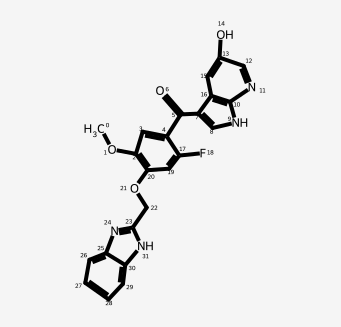 COc1cc(C(=O)c2c[nH]c3ncc(O)cc23)c(F)cc1OCc1nc2ccccc2[nH]1